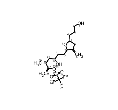 C=C1C[C@H](CCCO)OC1CC[C@@H](O)C[C@@H](C)C(=C)OS(=O)(=O)C(F)(F)F